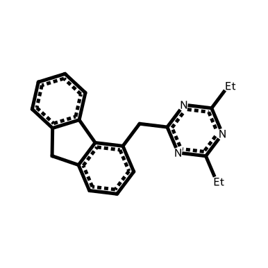 CCc1nc(CC)nc(Cc2cccc3c2-c2ccccc2C3)n1